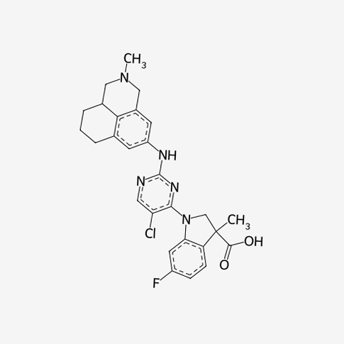 CN1Cc2cc(Nc3ncc(Cl)c(N4CC(C)(C(=O)O)c5ccc(F)cc54)n3)cc3c2C(CCC3)C1